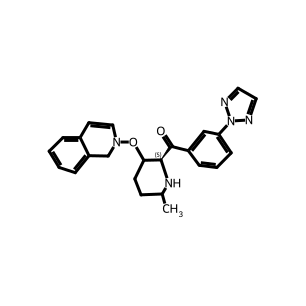 CC1CCC(ON2C=Cc3ccccc3C2)[C@@H](C(=O)c2cccc(-n3nccn3)c2)N1